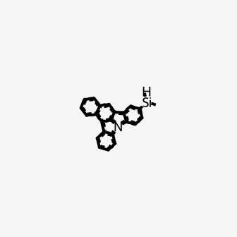 C[SiH](C)c1ccc2c(c1)c1cc3ccccc3c3c4ccccc4n2c13